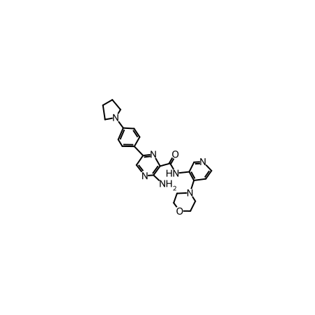 Nc1ncc(-c2ccc(N3CCCC3)cc2)nc1C(=O)Nc1cnccc1N1CCOCC1